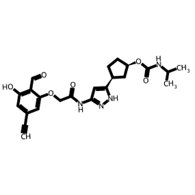 C#Cc1cc(O)c(C=O)c(OCC(=O)Nc2cc([C@H]3CC[C@@H](OC(=O)NC(C)C)C3)[nH]n2)c1